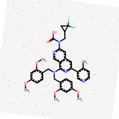 COc1ccc(CN(Cc2ccc(OC)cc2OC)c2nc(-c3cnccc3C)cc3cc(N(CC4CC4(F)F)C(=O)O)ncc23)c(OC)c1